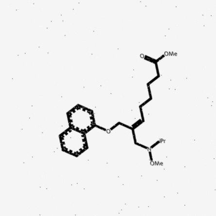 COC(=O)CCCC/C=C(\COc1cccc2ccccc12)CN(OC)C(C)C